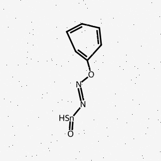 [O]=[SnH][N]=NOc1ccccc1